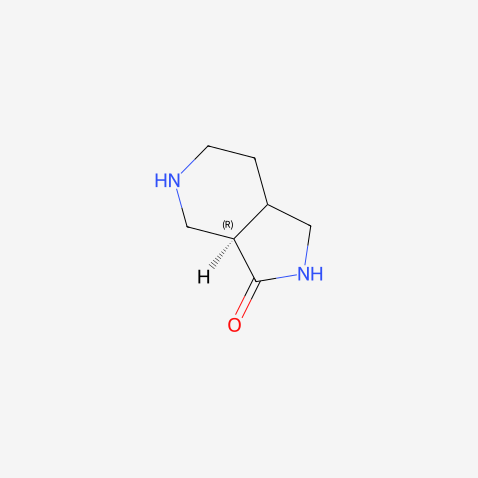 O=C1NCC2CCNC[C@H]12